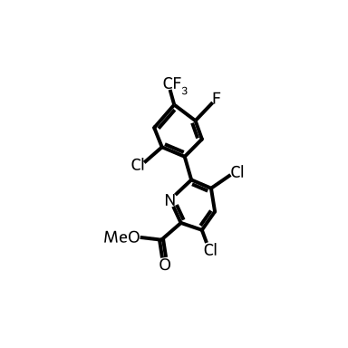 COC(=O)c1nc(-c2cc(F)c(C(F)(F)F)cc2Cl)c(Cl)cc1Cl